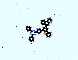 c1ccc(-c2nc(-c3ccccc3)nc(-c3ccc(-c4cc(-c5cc6ncccc6c6ccccc56)cc5c4oc4ccccc45)cc3)n2)cc1